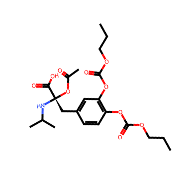 CCCOC(=O)Oc1ccc(C[C@](NC(C)C)(OC(C)=O)C(=O)O)cc1OC(=O)OCCC